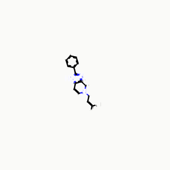 CC(C)=CCN1C=Cc2[nH]c(-c3ccccc3)nc2C1